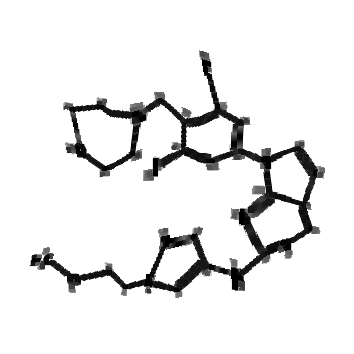 COCCn1cc(Nc2ncc3ccn(-c4cc(F)c(CN5CCOCC5)c(F)c4)c3n2)cn1